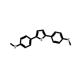 CSc1ccc(-c2ccc(-c3ccc(SC)cc3)s2)cc1